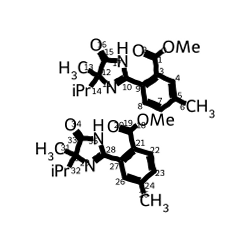 COC(=O)c1cc(C)ccc1C1=NC(C)(C(C)C)C(=O)N1.COC(=O)c1ccc(C)cc1C1=NC(C)(C(C)C)C(=O)N1